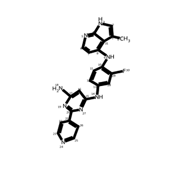 Cc1c[nH]c2nccc(Nc3ccc(Nc4cc(N)nc(-c5ccncc5)n4)cc3F)c12